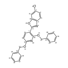 Clc1ccc2nc(-c3ccc(OCc4ccccc4)nc3OCc3ccccc3)oc2c1